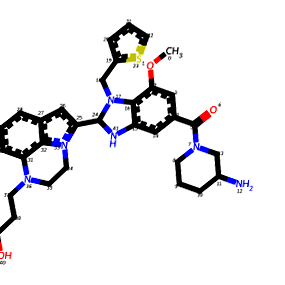 COc1cc(C(=O)N2CCCC(N)C2)cc2c1N(Cc1cccs1)C(c1cc3cccc4c3n1CCN4CCCO)N2